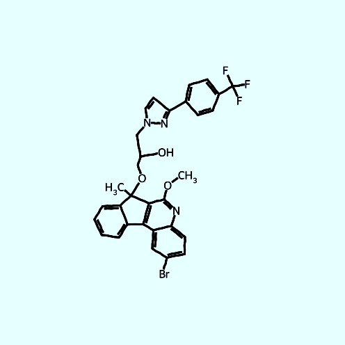 COc1nc2ccc(Br)cc2c2c1C(C)(OCC(O)Cn1ccc(-c3ccc(C(F)(F)F)cc3)n1)c1ccccc1-2